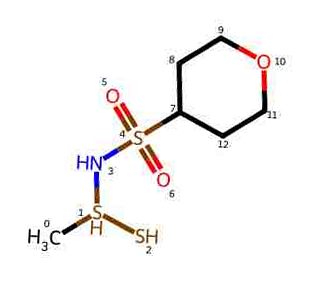 C[SH](S)NS(=O)(=O)C1CCOCC1